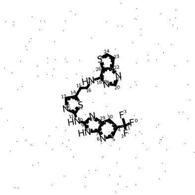 FC(F)(F)c1cnc2[nH]c(Nc3ncc(CCNc4ncnc5ccsc45)s3)nc2c1